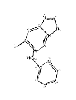 Cc1cc2ncoc2cc1Nc1ccccn1